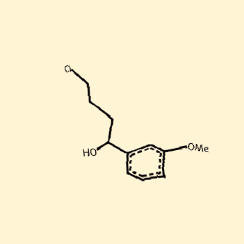 COc1cccc(C(O)CCCCl)c1